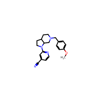 COc1ccc(CN2CCC3CCN(c4cc(C#N)ccn4)C3C2)cc1